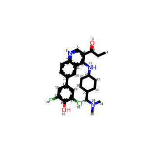 CCC(=O)c1cnc2ccc(-c3cc(F)c(O)c(Cl)c3)cc2c1NC1CCC(CN(C)C)CC1